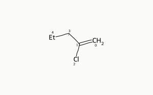 C=C(Cl)[CH]CC